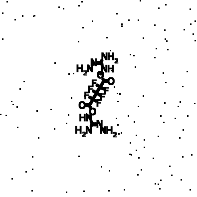 NN=C(N)NOC(=O)C(F)(F)C(F)(F)C(F)(F)C(=O)ONC(N)=NN